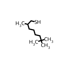 CC(CS)CCCCC(C)(C)C